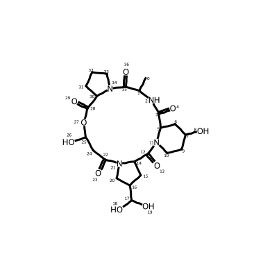 CC1NC(=O)C2CC(O)CCN2C(=O)C2CC(C(O)O)CN2C(=O)CC(O)OC(=O)C2CCCN2C1=O